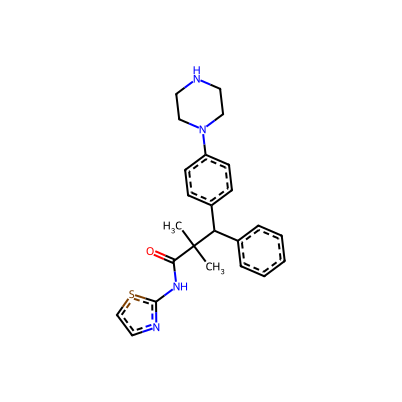 CC(C)(C(=O)Nc1nccs1)C(c1ccccc1)c1ccc(N2CCNCC2)cc1